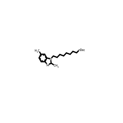 CCCCCCCCCCCCCCCCCCN1c2cc(C)ccc2[Se]C1C